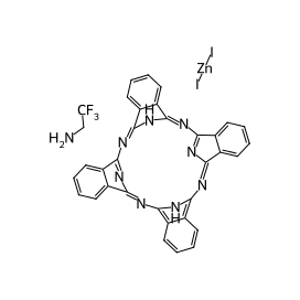 NCC(F)(F)F.[I][Zn][I].c1ccc2c(c1)-c1nc-2nc2[nH]c(nc3nc(nc4[nH]c(n1)c1ccccc41)-c1ccccc1-3)c1ccccc21